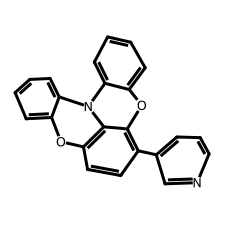 c1cncc(-c2ccc3c4c2Oc2ccccc2N4c2ccccc2O3)c1